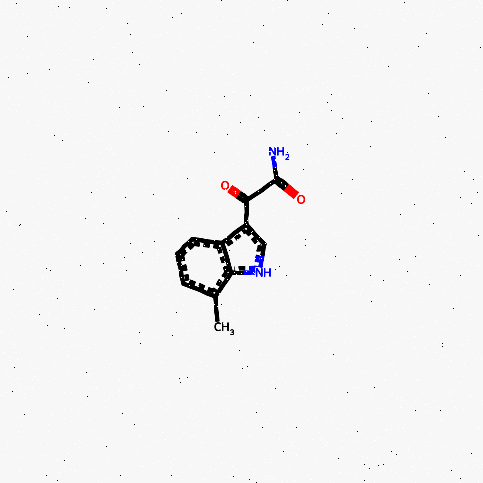 Cc1cccc2c(C(=O)C(N)=O)c[nH]c12